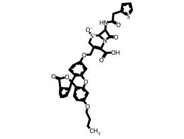 CCCCOc1ccc2c(c1)Oc1cc(OCC3=C(C(=O)O)N4C(=O)C(NC(=O)Cc5cccs5)C4[S+]([O-])C3)ccc1C21OC(=O)c2ccccc21